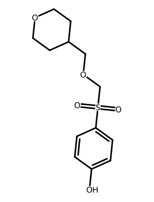 O=S(=O)(COCC1CCOCC1)c1ccc(O)cc1